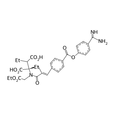 CCOC(=O)CN(C(=O)/C(C)=C/c1ccc(C(=O)Oc2ccc(C(=N)N)cc2)cc1)[C@](CC)(C(=O)O)C(CC)C(=O)O